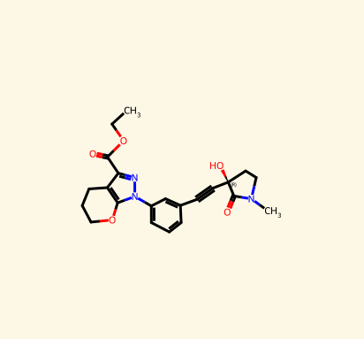 CCOC(=O)c1nn(-c2cccc(C#C[C@]3(O)CCN(C)C3=O)c2)c2c1CCCO2